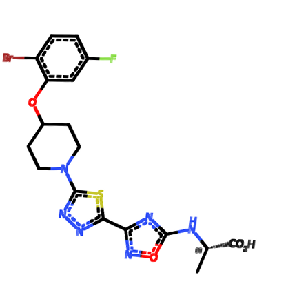 C[C@H](Nc1nc(-c2nnc(N3CCC(Oc4cc(F)ccc4Br)CC3)s2)no1)C(=O)O